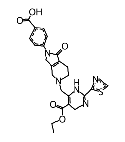 CCOC(=O)C1=C(CN2CCC3=C(C2)CN(c2ccc(C(=O)O)cc2)C3=O)NC(c2nccs2)=NC1